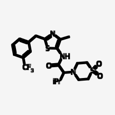 Cc1nc(Cc2cccc(C(F)(F)F)c2)sc1NC(=O)C(C(C)C)N1CCS(=O)(=O)CC1